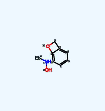 CCNO.c1ccc2c(c1)CO2